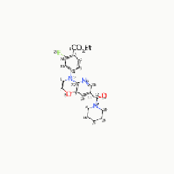 CCOC(=O)c1ccc(N2CCOc3cc(C(=O)N4CCCCC4)cnc32)cc1F